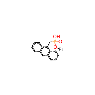 CCOP(=O)(O)Cc1c2ccccc2cc2ccccc12